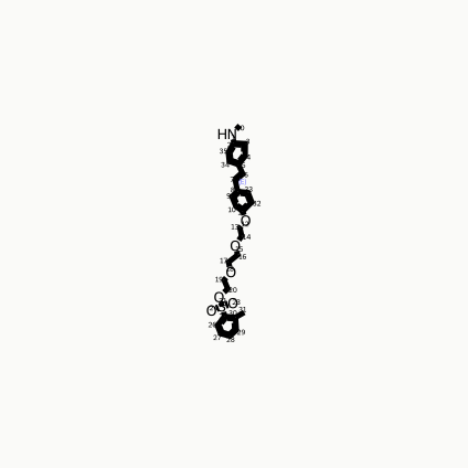 CNc1ccc(/C=C/c2ccc(OCCOCCOCCOS(=O)(=O)c3ccccc3C)cc2)cc1